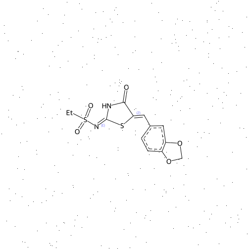 CCS(=O)(=O)/N=C1\NC(=O)/C(=C/c2ccc3c(c2)OCO3)S1